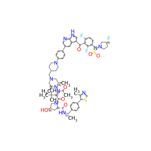 CC(=O)N([C@H](C(=O)N1C[C@H](O)C[C@H]1C(=O)N[C@@H](C)c1ccc(-c2scnc2C)cc1)C(C)(C)C)N1[C@H](C)CN(CC2CCN(c3ccc(-c4cnc5[nH]cc(C(=O)c6c(F)ccc(N(N7CC[C@@H](F)C7)[SH](=O)=O)c6F)c5c4)cc3)CC2)C[C@@H]1C